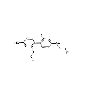 CCCc1cc(O)ccc1-c1ccc(NCCF)cc1C